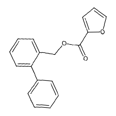 O=C(OCc1ccccc1-c1ccccc1)c1ccco1